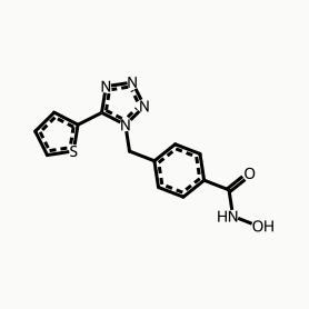 O=C(NO)c1ccc(Cn2nnnc2-c2cccs2)cc1